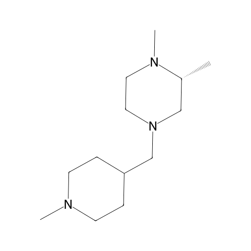 C[C@@H]1CN(CC2CCN(C)CC2)CCN1C